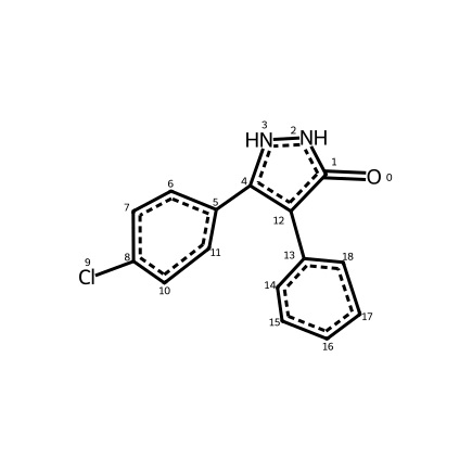 O=c1[nH][nH]c(-c2ccc(Cl)cc2)c1-c1ccccc1